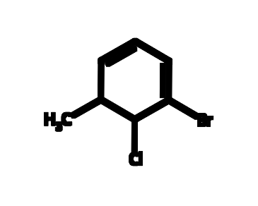 CC1C=CC=C(Br)C1Cl